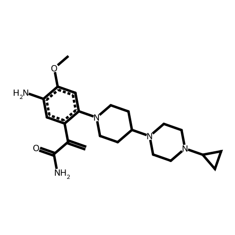 C=C(C(N)=O)c1cc(N)c(OC)cc1N1CCC(N2CCN(C3CC3)CC2)CC1